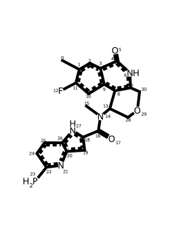 Cc1cc2c(=O)[nH]c3c(c2cc1F)C(N(C)C(=O)c1cc2nc(P)ccc2[nH]1)COC3